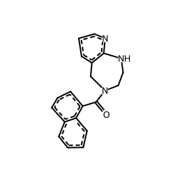 O=C(c1cccc2ccccc12)N1CCNc2ncccc2C1